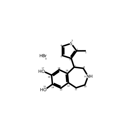 Br.Cc1sccc1C1CNCCc2cc(O)c(O)cc21